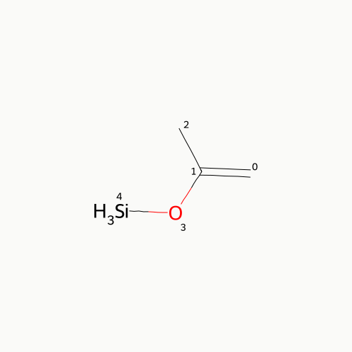 C=C(C)O[SiH3]